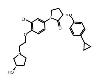 CCc1cc(N2CC[C@H](Oc3ccc(C4CC4)cc3)C2=O)ccc1OCCN1CC[C@@H](O)C1